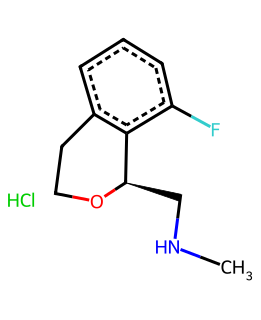 CNC[C@H]1OCCc2cccc(F)c21.Cl